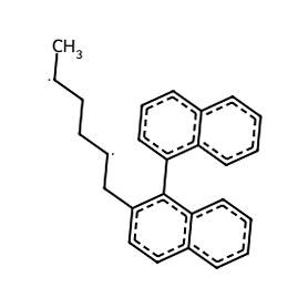 C[CH]CC[CH]Cc1ccc2ccccc2c1-c1cccc2ccccc12